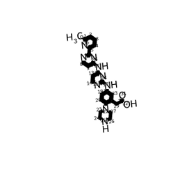 Cc1cccc(-c2nccc(Nc3ccnc(Nc4ccc(N5CCNCC5)c(CC(=O)O)c4)n3)n2)n1